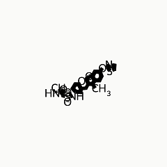 CNC(=O)CS(=O)(=O)Nc1cccc(Cc2c(C)c3ccc(Oc4nccs4)cc3oc2=O)c1